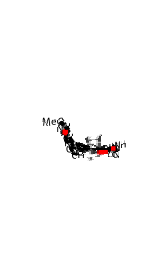 COc1ncc(-c2cnc(N(C(=O)N(C)C)C3CCC(Nc4ncc(C#N)c(-c5n[nH]cc5Cl)n4)CC3)cn2)cn1